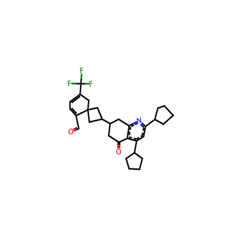 O=CC1=CC=C(C(F)(F)F)CC12CC(C1CC(=O)c3c(C4CCCC4)cc(C4CCCC4)nc3C1)C2